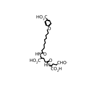 O=[C]CC[C@H](NC(=O)CC[C@H](NC(=O)CCCCCCCCCOc1ccc(C(=O)O)cc1)C(=O)O)C(=O)O